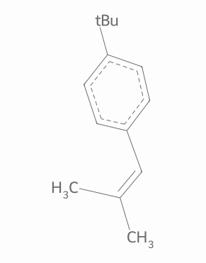 CC(C)=Cc1ccc(C(C)(C)C)cc1